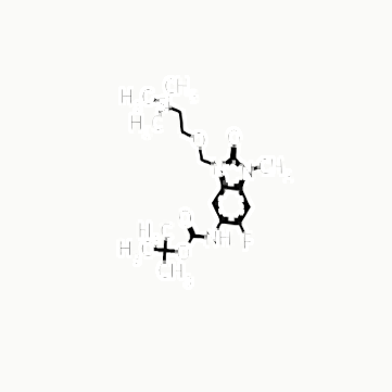 Cn1c(=O)n(COCC[Si](C)(C)C)c2cc(NC(=O)OC(C)(C)C)c(F)cc21